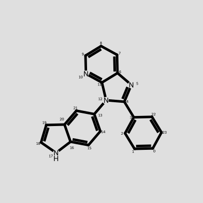 c1ccc(-c2nc3cccnc3n2-c2ccc3[nH]ccc3c2)cc1